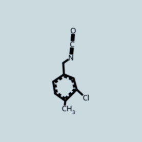 Cc1ccc(CN=C=O)cc1Cl